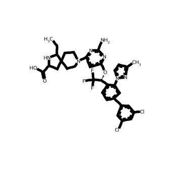 CCC1NC(C(=O)O)CC12CCN(c1cc(O[C@H](c3ccc(-c4cc(Cl)cc(Cl)c4)cc3-n3ccc(C)n3)C(F)(F)F)nc(N)n1)CC2